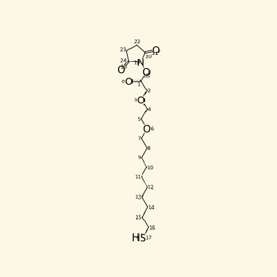 O=C(COCCOCCCCCCCCCCS)ON1C(=O)CCC1=O